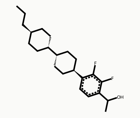 CCC[C@H]1CC[C@H]([C@H]2CC[C@H](c3ccc(C(C)O)c(F)c3F)CC2)CC1